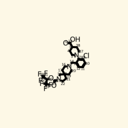 O=C(O)C1CCN(c2c(Cl)cccc2CN2CCC3(CC2)CCN(C(=O)OC(C(F)(F)F)C(F)(F)F)C3)CC1